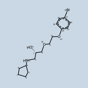 O[C@@H](CNC1CCCC1)COCCOc1ccc(Br)cc1